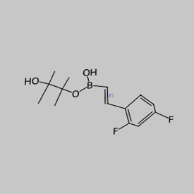 CC(C)(O)C(C)(C)OB(O)/C=C/c1ccc(F)cc1F